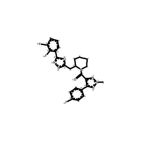 Cn1nc(C(=O)N2CCCCC2Cc2nnc(-c3cccc(F)c3F)o2)c(-c2ccc(F)cc2)n1